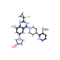 COc1cccnc1C1CCN(c2nc(C3(F)CC3)nc3c(Cl)cc(N4CC[C@@H](O)C4)cc23)CC1